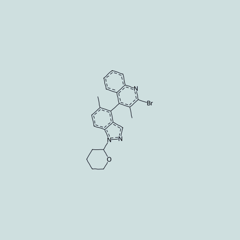 Cc1ccc2c(cnn2C2CCCCO2)c1-c1c(C)c(Br)nc2ccccc12